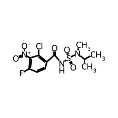 CC(C)N(C)S(=O)(=O)NC(=O)c1ccc(F)c([N+](=O)[O-])c1Cl